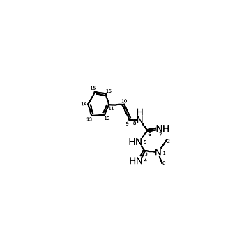 CN(C)C(=N)NC(=N)NC=Cc1ccccc1